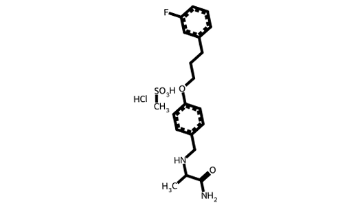 CC(NCc1ccc(OCCCc2cccc(F)c2)cc1)C(N)=O.CS(=O)(=O)O.Cl